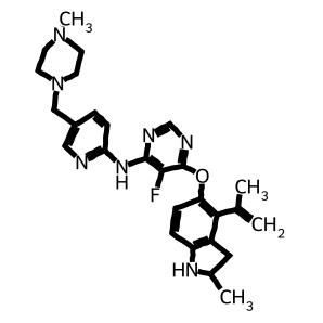 C=C(C)c1c(Oc2ncnc(Nc3ccc(CN4CCN(C)CC4)cn3)c2F)ccc2c1CC(C)N2